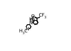 CN1CCC(Nc2cccc3c2S(=O)(=O)C=C3CC(F)(F)F)CC1